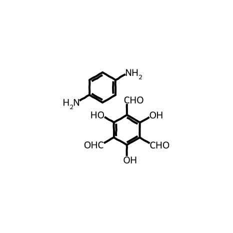 Nc1ccc(N)cc1.O=Cc1c(O)c(C=O)c(O)c(C=O)c1O